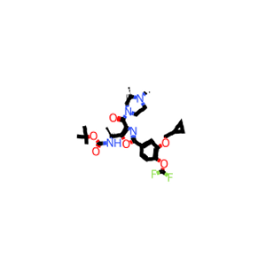 [CH2]N1CCN(C(=O)c2nc(-c3ccc(OC(F)F)c(OCC4CC4)c3)oc2[C@H](C)NC(=O)OC(C)(C)C)C[C@@H]1C